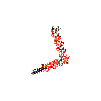 O=P([O-])([O-])[O-].O=P([O-])([O-])[O-].O=P([O-])([O-])[O-].O=P([O-])([O-])[O-].O=P([O-])([O-])[O-].O=P([O-])([O-])[O-].O=P([O-])([O-])[O-].O=P([O-])([O-])[O-].[Fe+3].[Fe+3].[Fe+3].[V+5].[V+5].[V+5]